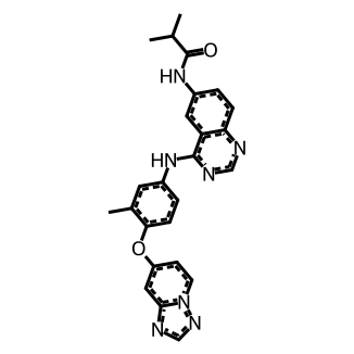 Cc1cc(Nc2ncnc3ccc(NC(=O)C(C)C)cc23)ccc1Oc1ccn2ncnc2c1